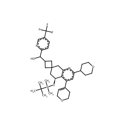 CC(C)(C)[Si](C)(C)O[C@H]1CC2(Cc3nc(C4CCOCC4)cc(C4=CCOCC4)c31)CC(C(O)c1ccc(C(F)(F)F)cn1)C2